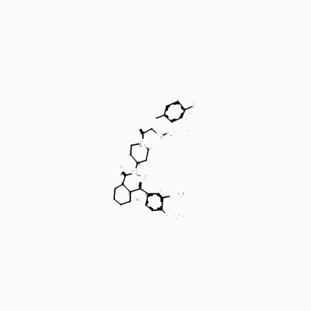 COc1ccc(C2=NN(C3CCN(C(=O)[C@H](Cc4ccc(F)cc4)NC(=O)O)CC3)C(=O)[C@@H]3CCCC[C@H]23)cc1OC